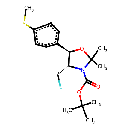 CSc1ccc([C@H]2OC(C)(C)N(C(=O)OC(C)(C)C)[C@@H]2CF)cc1